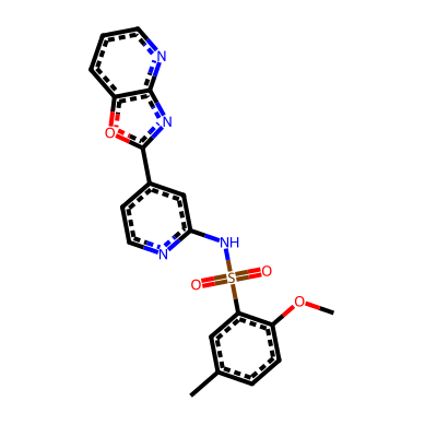 COc1ccc(C)cc1S(=O)(=O)Nc1cc(-c2nc3ncccc3o2)ccn1